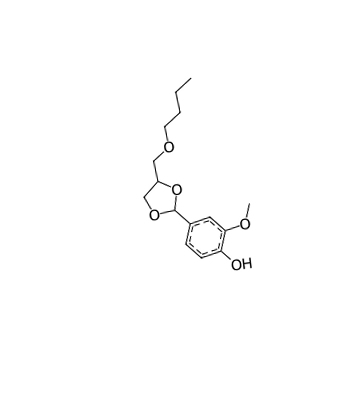 CCCCOCC1COC(c2ccc(O)c(OC)c2)O1